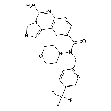 Nc1nc2ccc(C(=O)N(Cc3ccc(C(F)(F)F)cn3)N3CCOCC3)cc2c2cncn12